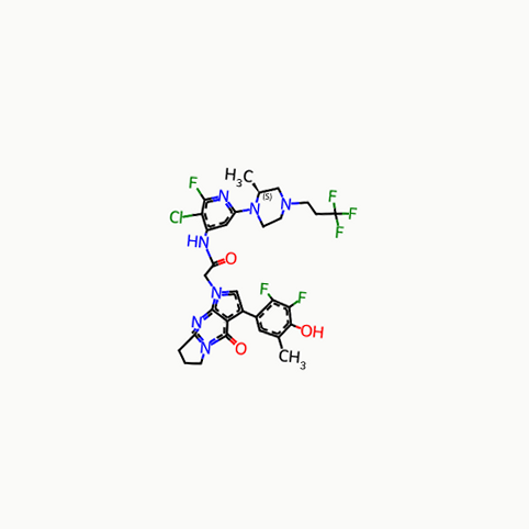 Cc1cc(-c2cn(CC(=O)Nc3cc(N4CCN(CCC(F)(F)F)C[C@@H]4C)nc(F)c3Cl)c3nc4n(c(=O)c23)CCC4)c(F)c(F)c1O